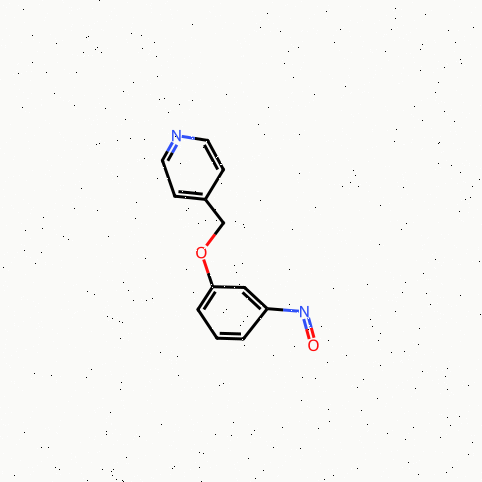 O=Nc1cccc(OCc2ccncc2)c1